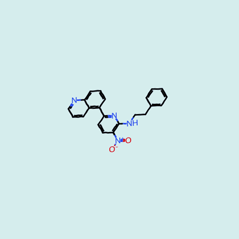 O=[N+]([O-])c1ccc(-c2cccc3ncccc23)nc1NCCc1ccccc1